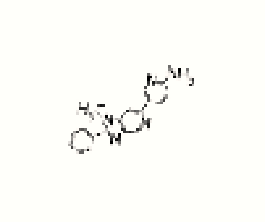 Cn1c(-c2ccccc2)nc2cnc(-c3ccc(N)nc3)cc21